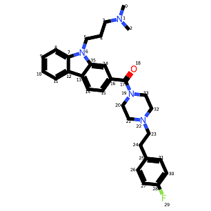 CN(C)CCCn1c2ccccc2c2ccc(C(=O)N3CCN(CCc4ccc(F)cc4)CC3)cc21